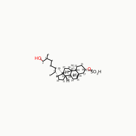 CC(CO)CCCC(C)[C@H]1CC[C@H]2[C@@H]3CC=C4C[C@@H](OS(=O)(=O)O)CC[C@]4(C)[C@H]3CC[C@]12C